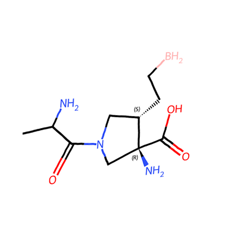 BCC[C@H]1CN(C(=O)C(C)N)C[C@@]1(N)C(=O)O